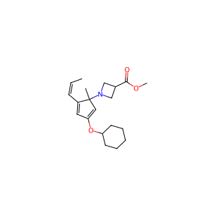 C/C=C\C1=CC(OC2CCCCC2)=CC1(C)N1CC(C(=O)OC)C1